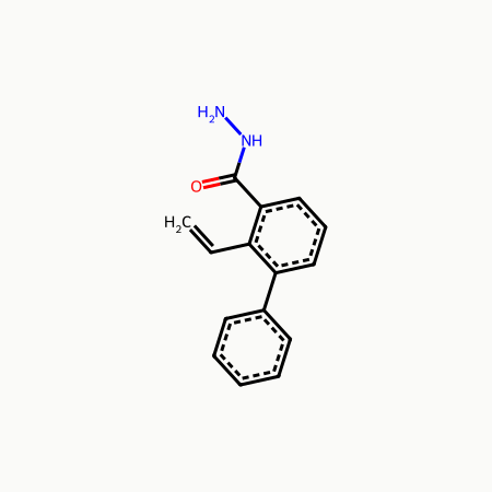 C=Cc1c(C(=O)NN)cccc1-c1ccccc1